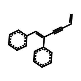 C=CC#C/C(=C/c1ccccc1)c1ccccc1